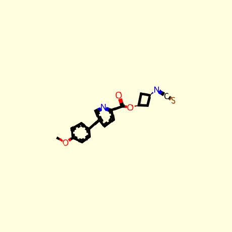 COc1ccc(-c2ccc(C(=O)O[C@H]3C[C@@H](N=C=S)C3)nc2)cc1